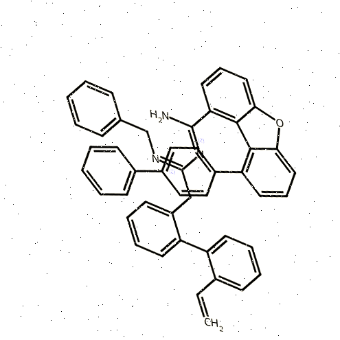 C=Cc1ccccc1-c1ccccc1CC(=N/Cc1ccccc1)/N=C(\N)c1cccc2oc3cccc(-c4ccc(-c5ccccc5)cc4)c3c12